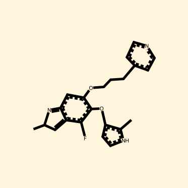 Cc1[nH]ccc1Oc1c(OCCCc2ccncc2)cc2c(c1F)=CC(C)N=2